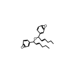 CCCC=CC(OC(C=CCCC)c1ccc2c(c1)O2)c1ccc2c(c1)O2